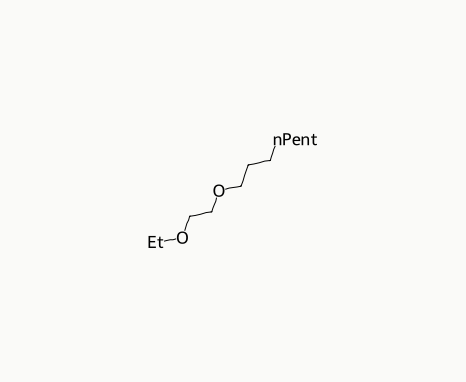 CCCCCCCCOCCOCC